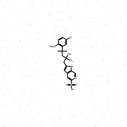 CSc1ccc(Cl)cc1C(C)(C)CC(O)(Cc1cc2cc(S(=O)(=O)C(C)C)ncc2[nH]1)C(F)(F)F